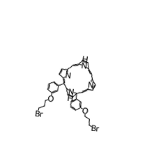 BrCCCOc1cccc(C2=C3C=CC(=N3)C=c3ccc([nH]3)=CC3=NC(=CC4(c5cccc(OCCCBr)c5)C=CC2N4)C=C3)c1